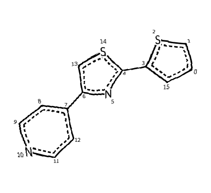 c1csc(-c2nc(-c3ccncc3)cs2)c1